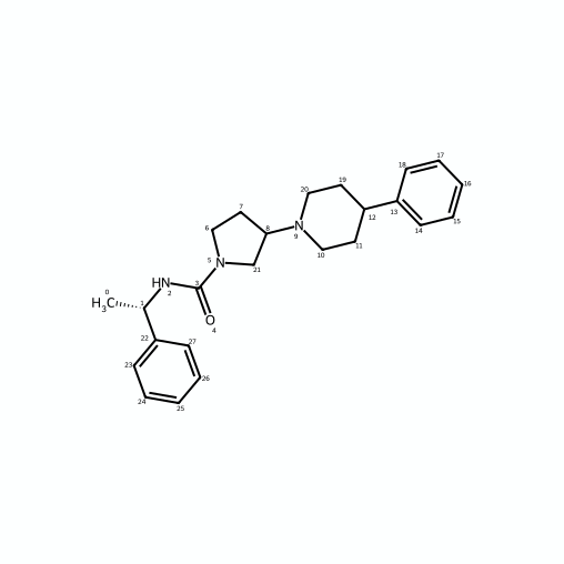 C[C@H](NC(=O)N1CCC(N2CCC(c3ccccc3)CC2)C1)c1ccccc1